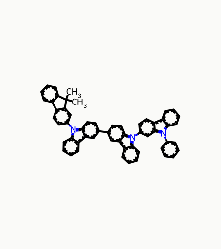 CC1(C)c2ccccc2-c2ccc(-n3c4ccccc4c4cc(-c5ccc6c(c5)c5ccccc5n6-c5ccc6c7ccccc7n(-c7ccccc7)c6c5)ccc43)cc21